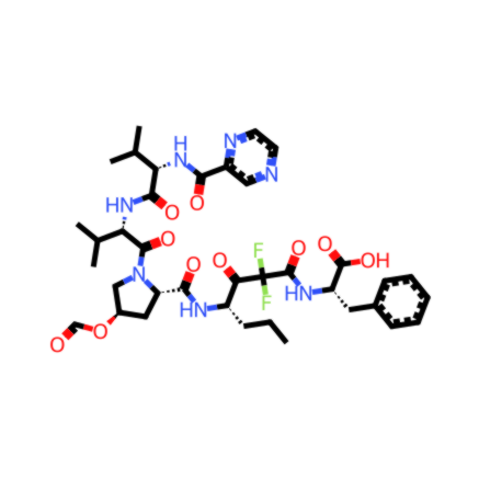 CCC[C@H](NC(=O)[C@@H]1C[C@@H](OC=O)CN1C(=O)[C@@H](NC(=O)[C@@H](NC(=O)c1cnccn1)C(C)C)C(C)C)C(=O)C(F)(F)C(=O)N[C@@H](Cc1ccccc1)C(=O)O